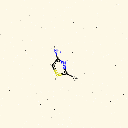 CC(=O)c1nc(N)cs1